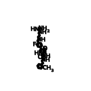 Cc1ccccc1CCNC(=O)Nc1nc(=O)c(-c2ccc(CNCCCNC(=N)N)c(F)c2)c[nH]1